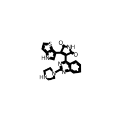 O=C1NC(=O)C(c2c[nH]c3ccsc23)=C1c1nc(N2CCNCC2)nc2ccccc12